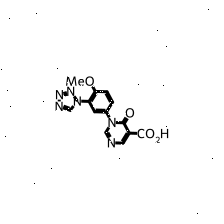 COc1ccc(-n2cncc(C(=O)O)c2=O)cc1-n1cnnn1